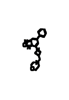 c1ccc(-c2cc(N3CC(CN4CCOCC4)C3)c3nonc3c2)cc1